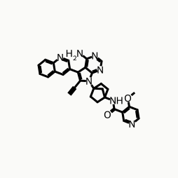 C#Cc1c(-c2cnc3ccccc3c2)c2c(N)ncnc2n1C12CCC(NC(=O)c3cnccc3OC)(CC1)C2